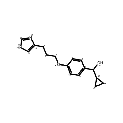 OC(c1ccc(OCCCc2c[nH]cn2)cc1)C1CC1